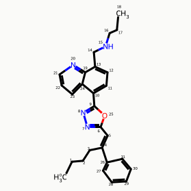 CCCC/C(=C\c1nnc(-c2ccc(CNCCC)c3ncccc23)o1)c1ccccc1